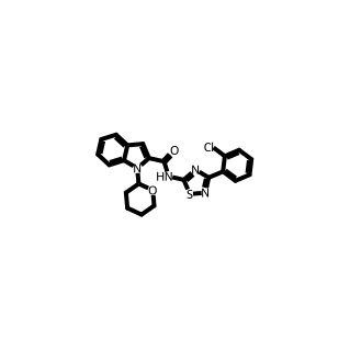 O=C(Nc1nc(-c2ccccc2Cl)ns1)c1cc2ccccc2n1C1CCCCO1